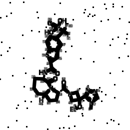 CCOC1(c2nncn2C)CN(C(=O)[C@@H]2CC[C@@H]3CCC[C@H](NC(=O)c4cc5cc(C(F)(F)P(=O)(O)O)ccc5s4)C(=O)N32)C1